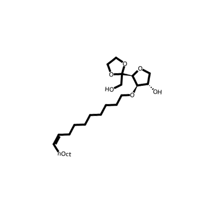 CCCCCCCC/C=C\CCCCCCCCO[C@@H]1[C@@H](O)CO[C@@H]1C1(CO)OCCO1